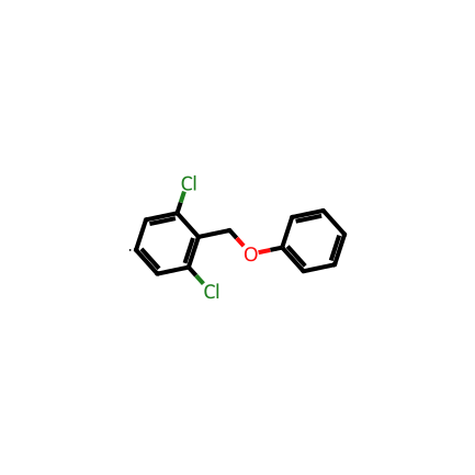 Clc1c[c]cc(Cl)c1COc1ccccc1